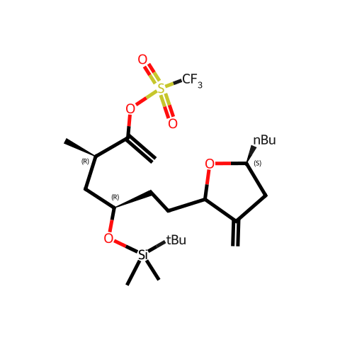 C=C1C[C@H](CCCC)OC1CC[C@H](C[C@@H](C)C(=C)OS(=O)(=O)C(F)(F)F)O[Si](C)(C)C(C)(C)C